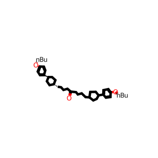 CCCCOc1ccc(C2CCC(CCCCC(=O)CCCC[C@H]3CC[C@H](c4ccc(OCCCC)cc4)CC3)CC2)cc1